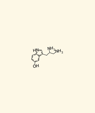 NCC(N)Cc1c[nH]c2ccc(O)cc12